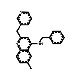 Cc1ccc2nc(Cc3cccnc3)cc(NCc3ccccc3)c2c1